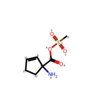 CS(=O)(=O)OC(=O)C1(N)C=CCC1